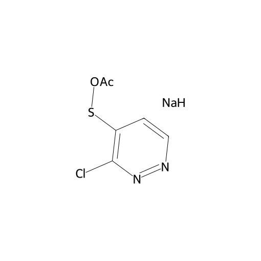 CC(=O)OSc1ccnnc1Cl.[NaH]